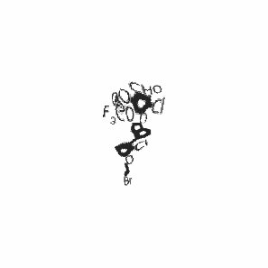 O=Cc1cc(Cl)c(O[C@H]2CCc3c(-c4cccc(OCCCBr)c4Cl)cccc32)cc1OS(=O)(=O)C(F)(F)F